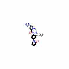 CN1C[C@@H](N)CC1C(=O)Nc1ccc(-n2ccccc2=O)cc1C(=O)O